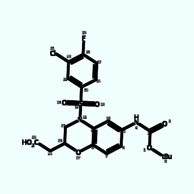 CC(C)(C)OC(=O)Nc1ccc2c(c1)N(S(=O)(=O)c1ccc(F)c(Cl)c1)CC(CC(=O)O)O2